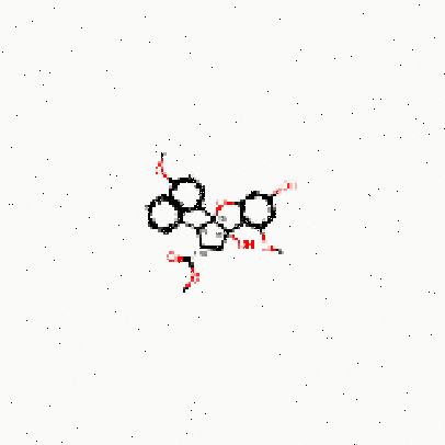 COC(=O)[C@H]1C[C@@]2(O)c3c(OC)cc(O)cc3O[C@@]2(c2ccc(OC)cc2)[C@@H]1c1ccccc1